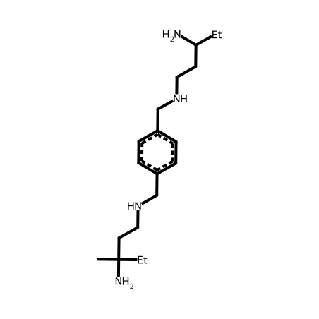 CCC(N)CCNCc1ccc(CNCCC(C)(N)CC)cc1